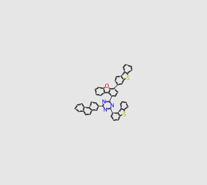 c1ccc2c(c1)ccc1cc(-c3nc(-c4cccc5sc6ccccc6c45)nc(-c4ccc(-c5ccc6c(c5)sc5ccccc56)c5oc6ccccc6c45)n3)ccc12